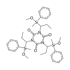 CCC(n1c(=O)n(C(CC)[Si](C)(OC)c2ccccc2)c(=O)n(C(CC)[Si](C)(OC)c2ccccc2)c1=O)[Si](C)(OC)c1ccccc1